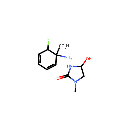 CN1CC(O)NC1=O.NC1(C(=O)O)C=CC=CC1F